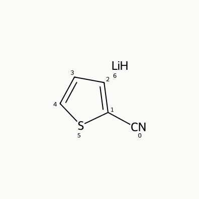 N#Cc1cccs1.[LiH]